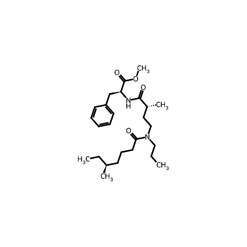 CCCN(CC[C@@H](C)C(=O)N[C@@H](Cc1ccccc1)C(=O)OC)C(=O)CCC[C@@H](C)CC